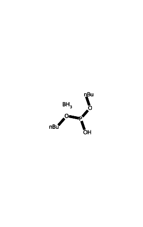 B.CCCCOP(O)OCCCC